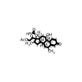 CCCC(=O)O[C@]1(C(=O)COC(C)=O)[C@@H](C)C[C@H]2[C@@H]3C[C@H](C)C4=CC(=O)C=C[C@]4(C)[C@H]3[C@@H](O)C[C@@]21C